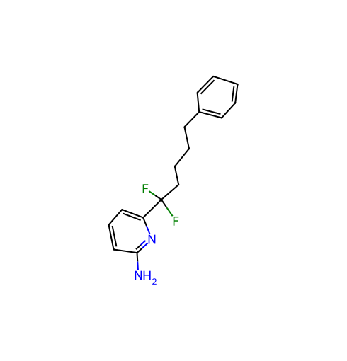 Nc1cccc(C(F)(F)CCCCc2ccccc2)n1